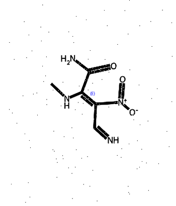 CN/C(C(N)=O)=C(\C=N)[N+](=O)[O-]